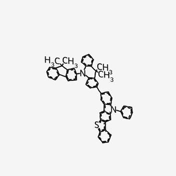 CC1(C)c2ccccc2-c2ccc(N3c4ccccc4C(C)(C)c4cc(-c5ccc6c(c5)c5cc7sc8ccccc8c7cc5n6-c5ccccc5)ccc43)cc21